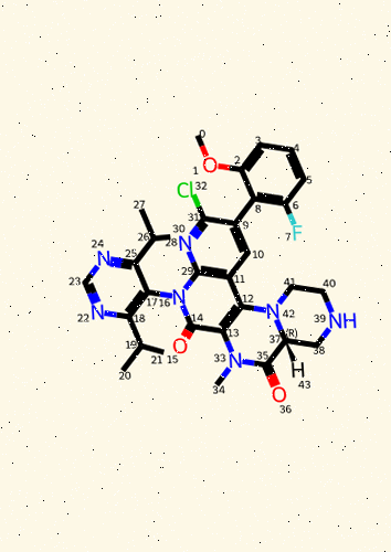 COc1cccc(F)c1-c1cc2c3c(c(=O)n(-c4c(C(C)C)ncnc4C(C)C)c2nc1Cl)N(C)C(=O)[C@H]1CNCCN31